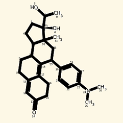 CC(O)[C@@]1(O)CCC2C3CCC4=CC(=O)CCC4=C3C(c3ccc(N(C)C)cc3)CC21C